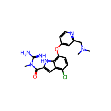 CN(C)Cc1cc(Oc2ccc(Cl)c3cc(C(=O)N(C)C(=N)N)[nH]c23)ccn1